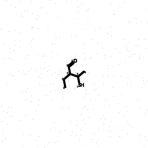 CCC(C=O)C(C)S